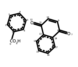 O=C(O)c1ccccc1.O=C1C=CC(=O)c2ccccc21